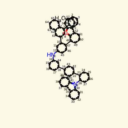 Cc1ccccc1-c1cc(-c2cc(Nc3cccc(-c4ccc(-c5ccccc5-n5c6ccccc6c6ccccc65)cc4)c3)ccc2-c2cccc3c2oc2ccccc23)cc2ccccc12